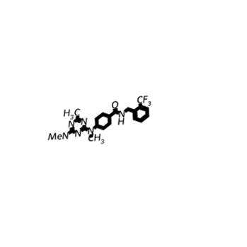 CNc1nc(C)nc(N(C)C2CCC(C(=O)NCc3ccccc3C(F)(F)F)CC2)n1